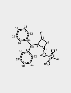 CC1CN(OS(C)(=O)=O)C1C(c1ccccc1)c1ccccc1